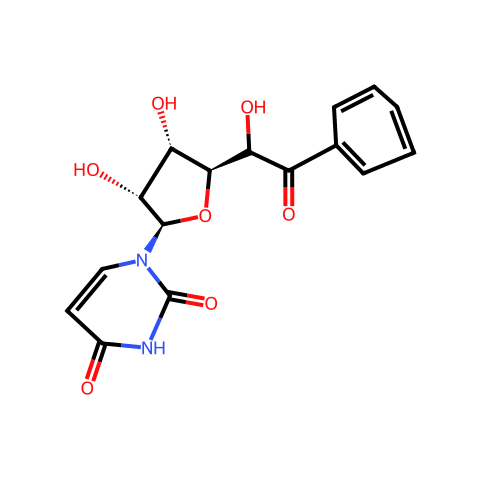 O=C(c1ccccc1)C(O)[C@H]1O[C@@H](n2ccc(=O)[nH]c2=O)[C@H](O)[C@@H]1O